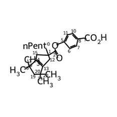 CCCCCC1(C(=O)Oc2ccc(C(=O)O)cc2)CC2=C(C1)C(C)(C)CC2(C)C